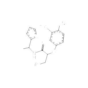 CC(C)CC(Oc1ccc(C#N)c(C(F)(F)F)c1)C(=O)NC(C)c1cccs1